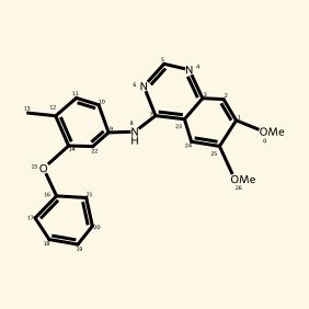 COc1cc2ncnc(Nc3ccc(C)c(Oc4ccccc4)c3)c2cc1OC